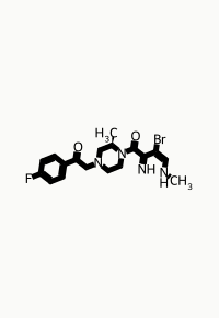 CN/C=C(/Br)C(=N)C(=O)N1CCN(CC(=O)c2ccc(F)cc2)C[C@@H]1C